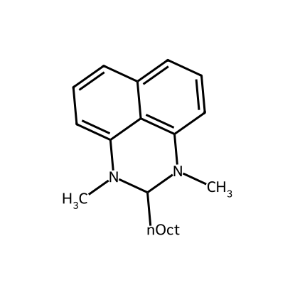 CCCCCCCCC1N(C)c2cccc3cccc(c23)N1C